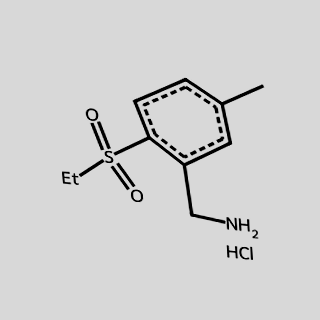 CCS(=O)(=O)c1ccc(C)cc1CN.Cl